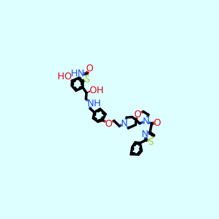 O=C(c1csc(-c2ccccc2)n1)N1CCOC2(CCN(CCOc3ccc(CNC[C@H](O)c4ccc(O)c5[nH]c(=O)sc45)cc3)CC2)C1